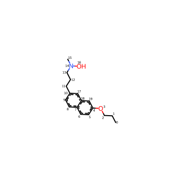 CCCOc1ccc2ccc(CCCN(C)O)cc2c1